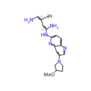 COC1CCN(c2cnc3ccc(N/C(N)=C/C(=C\N)C(C)C)nc3c2)C1